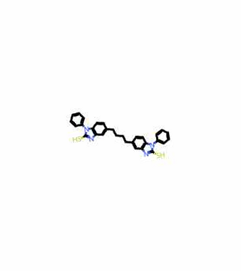 Sc1nc2cc(CCCCc3ccc4c(c3)nc(S)n4-c3ccccc3)ccc2n1-c1ccccc1